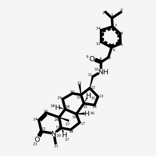 CC(C)c1ccc(CC(=O)NC[C@H]2CC[C@H]3[C@@H]4CC[C@H]5N(C)C(=O)C=C[C@]5(C)[C@H]4CC[C@]23C)cc1